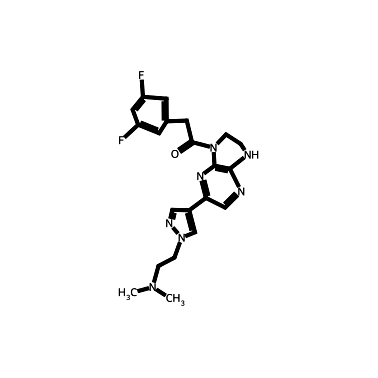 CN(C)CCn1cc(-c2cnc3c(n2)N(C(=O)Cc2cc(F)cc(F)c2)CCN3)cn1